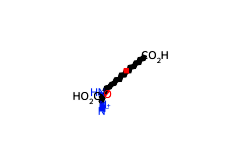 [N-]=[N+]=NCCC(NC(=O)CCCCCCCCCCCCCCCCC(=O)O)C(=O)O